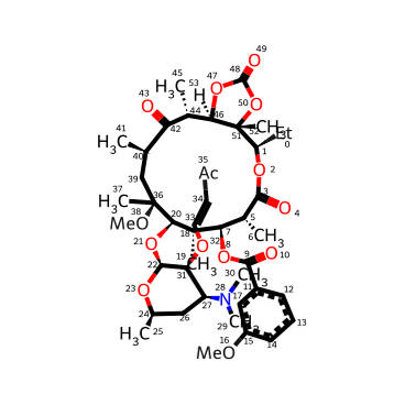 CC[C@H]1OC(=O)[C@H](C)[C@@H](OC(=O)c2cccc(OC)c2)[C@H](C)[C@@H](O[C@@H]2O[C@H](C)C[C@H](N(C)C)[C@@H]2O/C=C/C(C)=O)[C@@](C)(OC)C[C@@H](C)C(=O)[C@H](C)[C@H]2OC(=O)O[C@@]21C